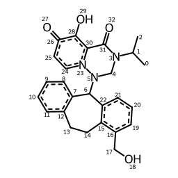 CC(C)N1CN(C2c3ccccc3CCc3c(CO)cccc32)n2ccc(=O)c(O)c2C1=O